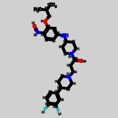 CC(C)COc1cc(NC2CCN(C(=O)CCN3CCC(c4ccc(F)c(F)c4)CC3)CC2)ccc1N=O